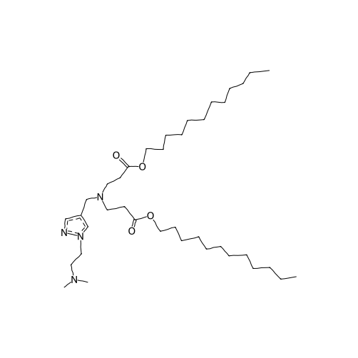 CCCCCCCCCCCCOC(=O)CCN(CCC(=O)OCCCCCCCCCCCC)Cc1cnn(CCN(C)C)c1